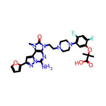 Cn1c(=O)n(CCN2CCN(c3cc(OC(C)(C)C(=O)O)c(F)cc3F)CC2)c2nc(N)n3nc(-c4ccco4)cc3c21